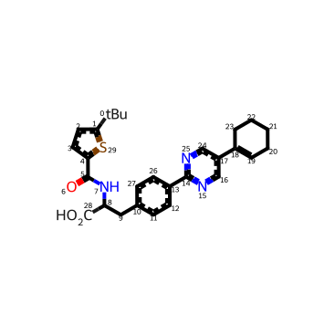 CC(C)(C)c1ccc(C(=O)NC(Cc2ccc(-c3ncc(C4=CCCCC4)cn3)cc2)C(=O)O)s1